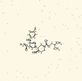 CC(C)COC(=O)N1CCC(=N)[C@H](n2cc(C(N)=O)c(Nc3ccc(F)cc3)n2)C1